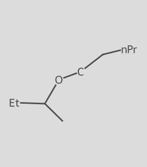 [CH2]CC(C)OCCCCC